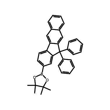 CC1(C)OB(c2ccc3c(c2)C(c2ccccc2)(c2ccccc2)c2cc4ccccc4cc2-3)OC1(C)C